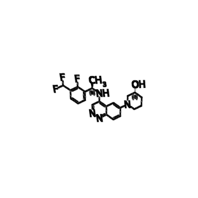 C[C@@H](Nc1cnnc2ccc(N3CCC[C@@H](O)C3)cc12)c1cccc(C(F)F)c1F